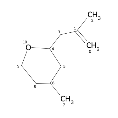 C=C(C)CC1CC(C)CCO1